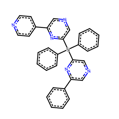 c1ccc(-c2cncc([Si](c3ccccc3)(c3ccccc3)c3cncc(-c4ccncc4)n3)n2)cc1